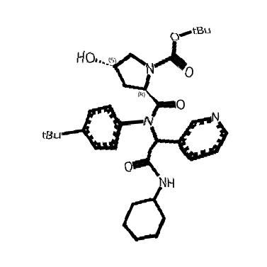 CC(C)(C)OC(=O)N1C[C@@H](O)C[C@@H]1C(=O)N(c1ccc(C(C)(C)C)cc1)C(C(=O)NC1CCCCC1)c1cccnc1